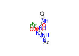 CC(=O)N1CC(Nc2cc(C(=O)NCC(O)CNC3Cc4ccccc4C3)ncn2)C1.O=C(O)C(F)(F)F